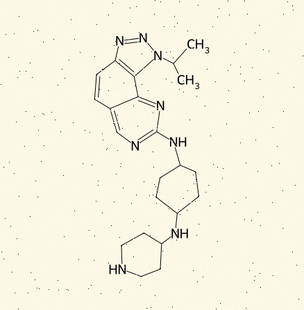 CC(C)n1nnc2ccc3cnc(NC4CCC(NC5CCNCC5)CC4)nc3c21